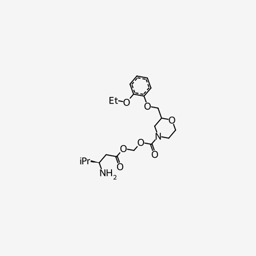 CCOc1ccccc1OCC1CN(C(=O)OCOC(=O)C[C@@H](N)C(C)C)CCO1